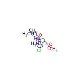 COC(=O)/C=C/C1=CC(C(N)=O)(c2ccc(Cl)cn2)C(NC(=O)C2CCN(C(C)C)CC2)C=C1